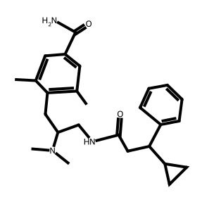 Cc1cc(C(N)=O)cc(C)c1CC(CNC(=O)CC(c1ccccc1)C1CC1)N(C)C